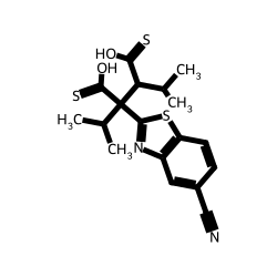 CC(C)C(C(O)=S)C(C(O)=S)(c1nc2cc(C#N)ccc2s1)C(C)C